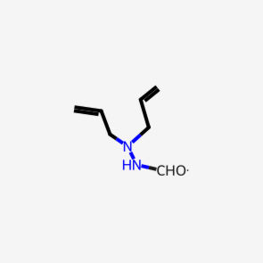 C=CCN(CC=C)N[C]=O